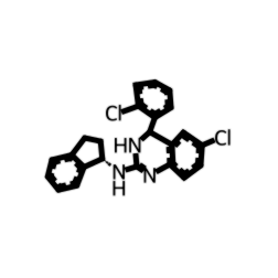 Clc1ccc2c(c1)C(c1ccccc1Cl)NC(N[C@H]1CCc3ccccc31)=N2